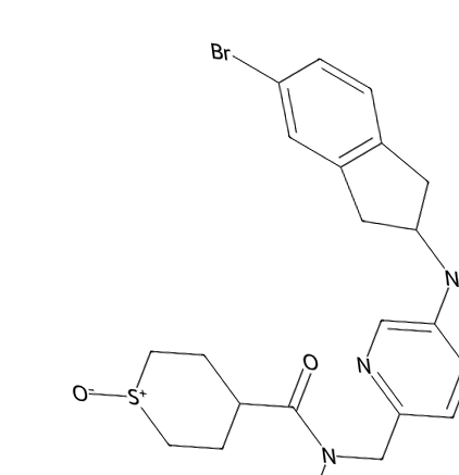 CN(Cc1ccc(NC2Cc3ccc(Br)cc3C2)cn1)C(=O)C1CC[S+]([O-])CC1